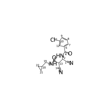 N#CC(NC(=O)c1cccc(Cl)c1)C(C#N)C(=O)NCC1CC1